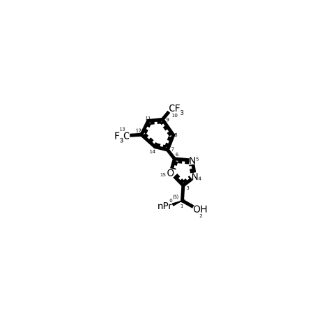 CCC[C@H](O)c1nnc(-c2cc(C(F)(F)F)cc(C(F)(F)F)c2)o1